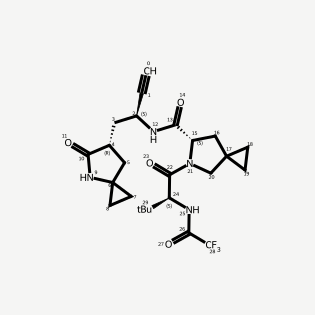 C#C[C@H](C[C@@H]1CC2(CC2)NC1=O)NC(=O)[C@@H]1CC2(CC2)CN1C(=O)[C@@H](NC(=O)C(F)(F)F)C(C)(C)C